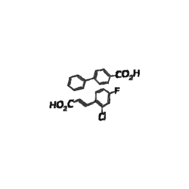 O=C(O)C=Cc1ccc(F)cc1Cl.O=C(O)c1ccc(-c2ccccc2)cc1